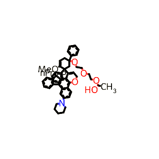 CCCC1(CCC)c2ccccc2-c2c1c1c(c3ccc(N4CCCCC4)cc23)OCC=C1C1(c2ccccc2)CC(OCCOCCOC(C)O)(c2ccccc2)CC=C1OC